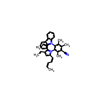 C=Cc1cc(/C=C\C=C/C)n(-c2c(C)c(C#N)c(C)c(C)c2-n2c3ccccc3c3ccccc32)c1/C=C\C